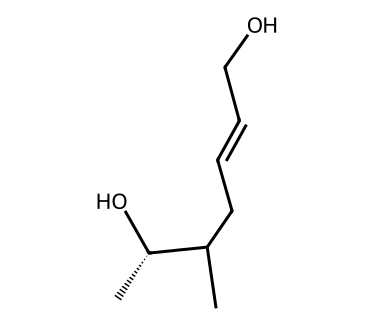 CC(C/C=C/CO)[C@H](C)O